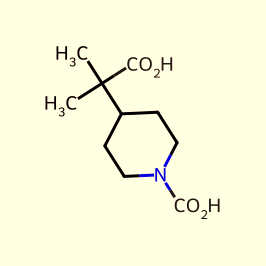 CC(C)(C(=O)O)C1CCN(C(=O)O)CC1